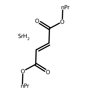 CCCOC(=O)/C=C/C(=O)OCCC.[SrH2]